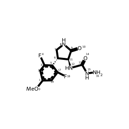 COc1cc(F)c([C@@H]2CNC(=O)[C@H]2NC(=O)NN)c(F)c1